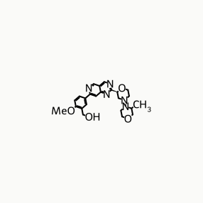 COc1ccc(-c2cc3nc([C@@H]4CN(N5CCOCC5C)CCO4)ncc3cn2)cc1CO